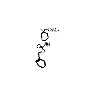 COC[C@]1(C)CC[C@H](NC(=O)OCc2ccccc2)CC1